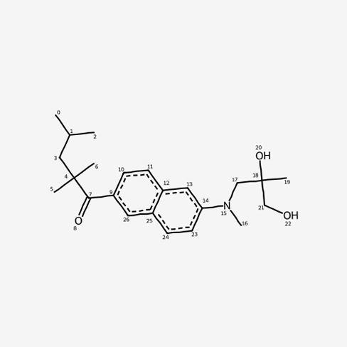 CC(C)CC(C)(C)C(=O)c1ccc2cc(N(C)CC(C)(O)CO)ccc2c1